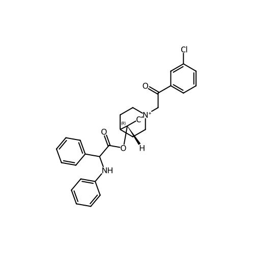 O=C(C[N+]12CCC(CC1)[C@@H](OC(=O)C(Nc1ccccc1)c1ccccc1)C2)c1cccc(Cl)c1